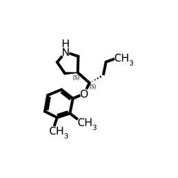 CCC[C@H](Oc1cccc(C)c1C)[C@H]1CCNC1